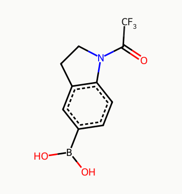 O=C(N1CCc2cc(B(O)O)ccc21)C(F)(F)F